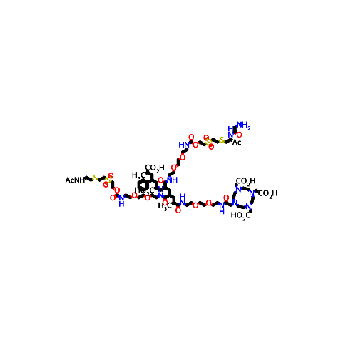 CC(=O)NCCSCCS(=O)(=O)CCOC(=O)NCCOCCOCCNC(=O)C(CC(C)C(=O)NCCOCCOCCNC(=O)CN1CCN(CC(=O)O)CCN(CC(=O)O)CCN(CC(=O)O)CC1)CC(CC(CC(CC(C)C(=O)O)c1ccccc1)C(=O)O)C(=O)NCCOCCOCCNC(=O)OCCS(=O)(=O)CCSCC(NC(=O)CN)C(C)=O